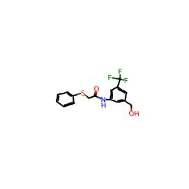 O=C(CSc1ccccc1)Nc1cc(CO)cc(C(F)(F)F)c1